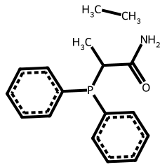 CC.CC(C(N)=O)P(c1ccccc1)c1ccccc1